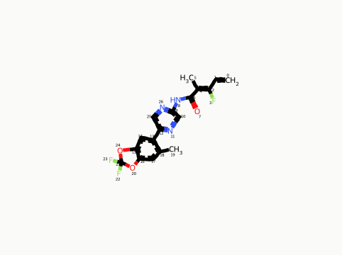 C=C/C(F)=C(\C)C(=O)Nc1cnc(-c2cc3c(cc2C)OC(F)(F)O3)cn1